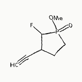 C#CC1CCP(=O)(OC)C1F